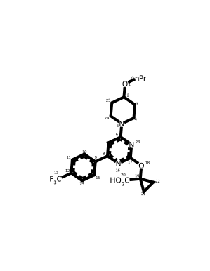 CCCOC1CCN(c2cc(-c3ccc(C(F)(F)F)cc3)nc(OC3(C(=O)O)CC3)n2)CC1